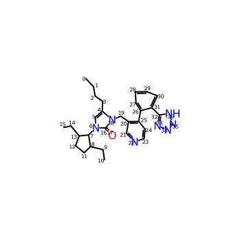 CCCCc1cn(C2C(CC)CCC2CC)c(=O)n1Cc1cnccc1-c1ccccc1-c1nnn[nH]1